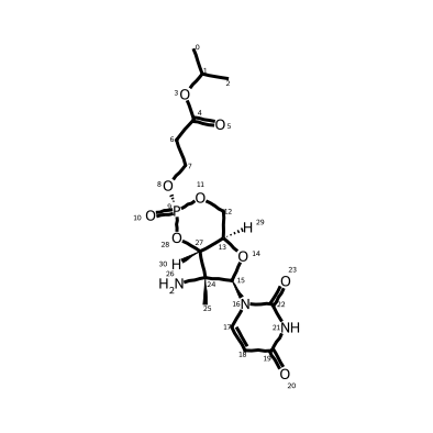 CC(C)OC(=O)CCO[P@]1(=O)OC[C@H]2O[C@@H](n3ccc(=O)[nH]c3=O)[C@](C)(N)[C@@H]2O1